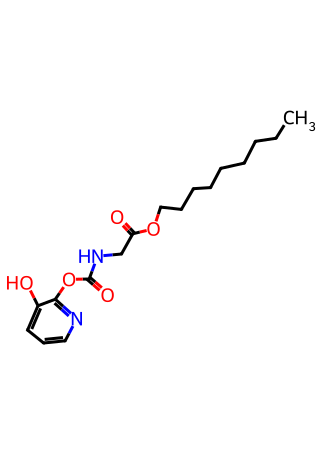 CCCCCCCCCOC(=O)CNC(=O)Oc1ncccc1O